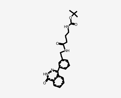 CC(C)(C)OC(=O)NCCCC(=O)NCc1cccc(-c2n[nH]c(=O)c3ccccc23)c1